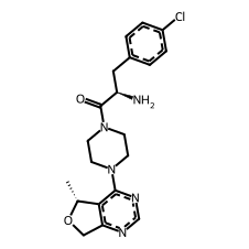 C[C@H]1OCc2ncnc(N3CCN(C(=O)[C@H](N)Cc4ccc(Cl)cc4)CC3)c21